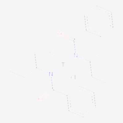 CCC(C)[N](C(=O)c1ccccc1)[Ti]([Cl])([Cl])[N](C(=O)c1ccccc1)C(C)CC